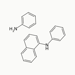 Nc1ccccc1.c1ccc(Nc2cccc3ccccc23)cc1